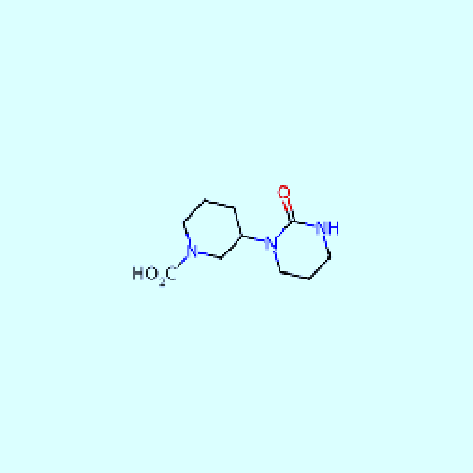 O=C(O)N1CCCC(N2CCCNC2=O)C1